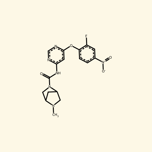 CN1CC2CC1CN2C(=O)Nc1cc(Oc2ccc([N+](=O)[O-])cc2F)ncn1